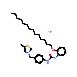 Br.CCCCCCCCCCCCCCOc1ccccc1NC(=O)Nc1ccc(CN2C=C(C)SC2)cc1